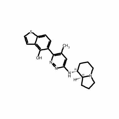 Cc1cc(N[C@@H]2CCCN3CCC[C@@H]23)nnc1-c1ccc2sccc2c1O